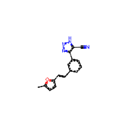 Cc1ccc(/C=C/c2cccc(-c3nn[nH]c3C#N)c2)o1